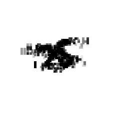 CC(CCCC(C)C1CCC(CCCC(C)CC(=O)O)C1)CCC(CCCC(C)C1CCC(C2CCC(CC(=O)O)C2)C1)CCC(CCCC(C)C1CCC(C2CCC(CC(=O)O)C2)C1)CCC(C)CCCC(C)C1CCC(CCCC(C)CC(=O)O)C1